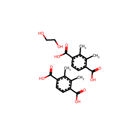 Cc1c(C(=O)O)ccc(C(=O)O)c1C.Cc1c(C(=O)O)ccc(C(=O)O)c1C.OCCO